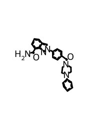 NC(=O)c1cccc2cn(-c3ccc(C(=O)N4CCN(c5ccccc5)CC4)cc3)nc12